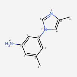 Cc1cc(N)cc(-n2cnc(C)c2)c1